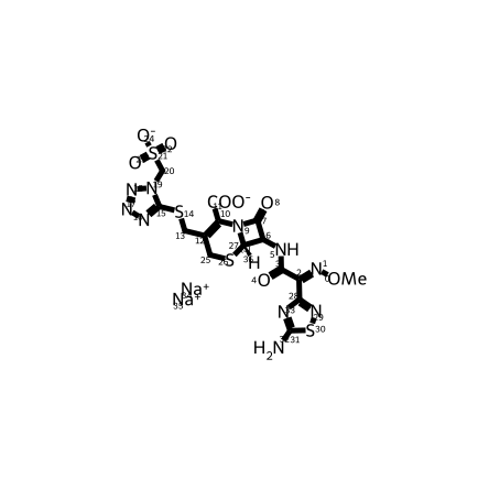 CON=C(C(=O)NC1C(=O)N2C(C(=O)[O-])=C(CSc3nnnn3CS(=O)(=O)[O-])CS[C@@H]12)c1nsc(N)n1.[Na+].[Na+]